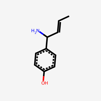 CC=CC(N)c1ccc(O)cc1